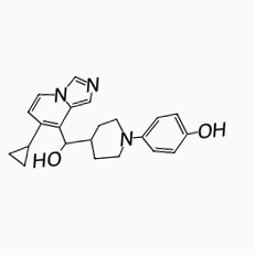 Oc1ccc(N2CCC(C(O)c3c(C4CC4)ccn4cncc34)CC2)cc1